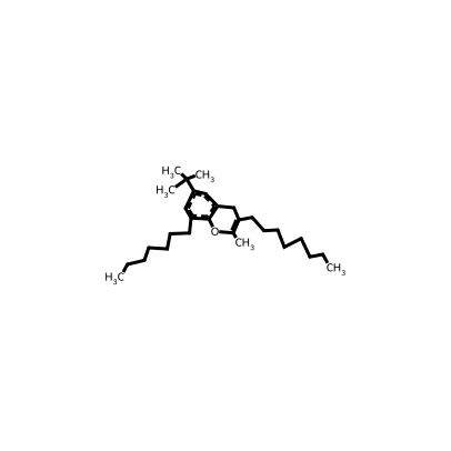 CCCCCCCCC1=C(C)Oc2c(CCCCCCC)cc(C(C)(C)C)cc2C1